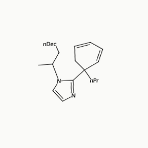 CCCCCCCCCCCC(C)n1ccnc1C1(CCC)C=CC=CC1